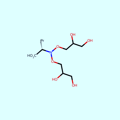 CC(C)[C@@H](C(=O)O)N(OCC(O)CO)OCC(O)CO